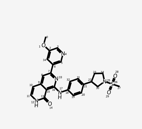 COc1cncc(-c2cc3cc[nH]c(=O)c3c(Nc3ccc(C4CCN(S(C)(=O)=O)C4)cc3)n2)c1